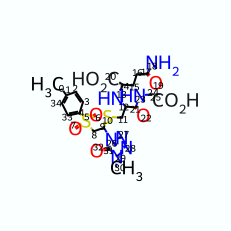 Cc1ccc(S(=O)(=O)CC(SCC(NC(CCC(N)=O)C(=O)O)C(=O)NCC(=O)O)n2nnn(C)c2=O)cc1